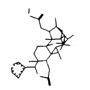 COC(=O)CC1C2(C)CC34OC5(C)OC6(C7CC(=O)OC(c8ccoc8)C7(C)CCC6(O5)C13C)C(O)C4(O)C2C